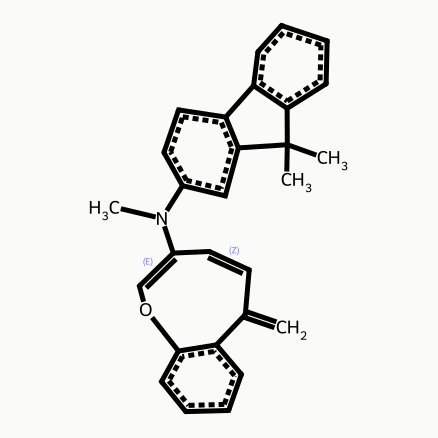 C=C1/C=C\C(N(C)c2ccc3c(c2)C(C)(C)c2ccccc2-3)=C/Oc2ccccc21